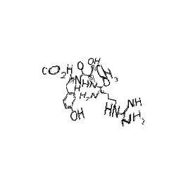 C[C@@H](O)[C@H](NC(=O)[C@@H](N)CCCNC(=N)N)C(=O)N[C@@H](Cc1ccc(O)cc1)C(=O)O